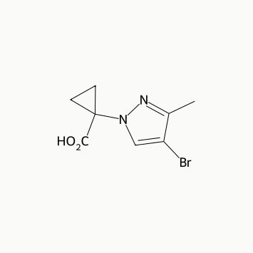 Cc1nn(C2(C(=O)O)CC2)cc1Br